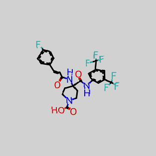 O=C(C=Cc1ccc(F)cc1)NC1(C(=O)Nc2cc(C(F)(F)F)cc(C(F)(F)F)c2)CCN(C(=O)O)CC1